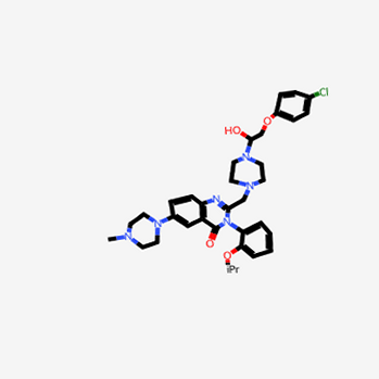 CC(C)Oc1ccccc1-n1c(CN2CCN(C(O)COc3ccc(Cl)cc3)CC2)nc2ccc(N3CCN(C)CC3)cc2c1=O